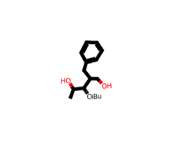 CC(C)COC(C(C)O)C(CO)Cc1ccccc1